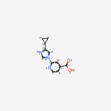 O=C(O)c1ccnc(-n2cnc(C3CC3)c2)c1